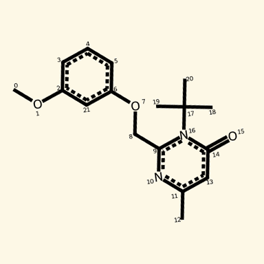 COc1cccc(OCc2nc(C)cc(=O)n2C(C)(C)C)c1